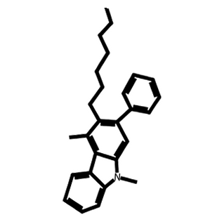 CCCCCCCc1c(-c2ccccc2)cc2c(c1C)c1ccccc1n2C